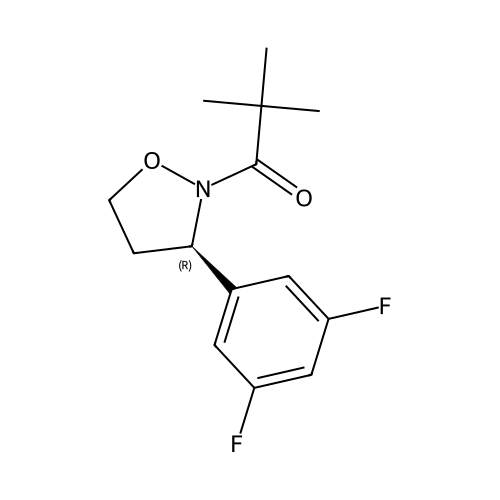 CC(C)(C)C(=O)N1OCC[C@@H]1c1cc(F)cc(F)c1